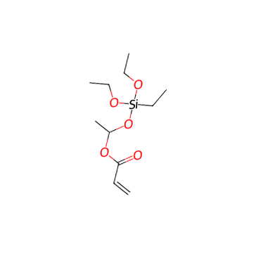 C=CC(=O)OC(C)O[Si](CC)(OCC)OCC